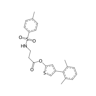 Cc1ccc(S(=O)(=O)NCCC(=O)Oc2cc(-c3c(C)cccc3C)cs2)cc1